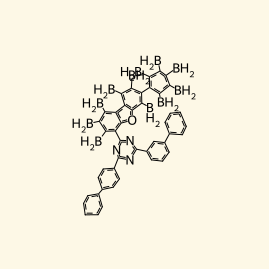 Bc1c(B)c(B)c(-c2c(B)c(B)c3c(oc4c(-c5nc(-c6ccc(-c7ccccc7)cc6)nc(-c6cccc(-c7ccccc7)c6)n5)c(B)c(B)c(B)c43)c2B)c(B)c1B